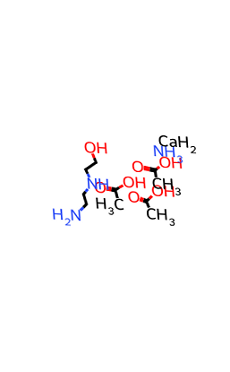 CC(=O)O.CC(=O)O.CC(=O)O.N.NCCNCCO.[CaH2]